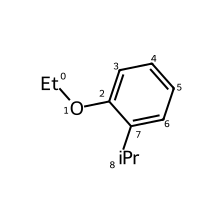 [CH2]COc1ccccc1C(C)C